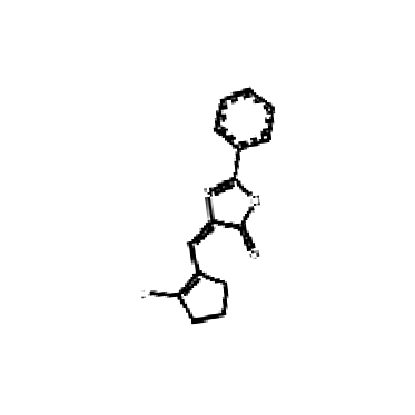 O=C1OC(c2ccccc2)=N/C1=C/C1=C(Cl)CCC1